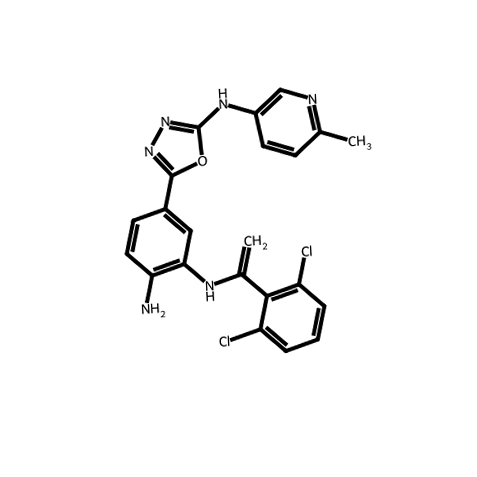 C=C(Nc1cc(-c2nnc(Nc3ccc(C)nc3)o2)ccc1N)c1c(Cl)cccc1Cl